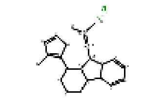 CC1=C(C2CCCC3C4C=CC=CC4[CH]([Zr+2]=[Si](C)C)C23)CC=C1.[Cl-].[Cl-]